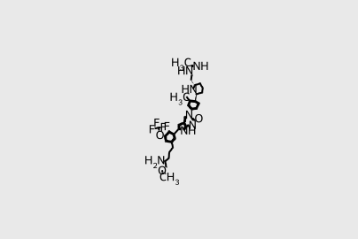 COC[C@H](N)CCCc1cc(OC(F)(F)F)c(F)c(-c2cc3cn(-c4ccc([C@@H]5CCC[C@@H](CCNC(C)=N)N5)c(C)c4)c(=O)nc3[nH]2)c1